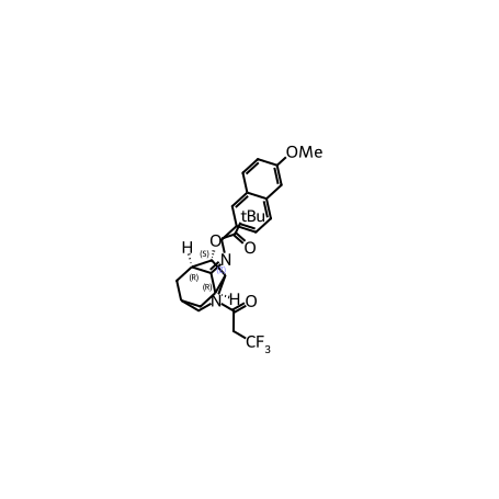 COc1ccc2cc(C/N=C3\[C@H]4CC5C[C@@H]3C([C@H]4OC(=O)C(C)(C)C)N(C(=O)CC(F)(F)F)C5)ccc2c1